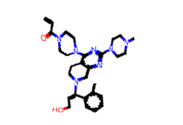 C=CC(=O)N1CCN(c2nc(N3CCN(C)CC3)nc3c2CCN(/C(=C/CO)c2ccccc2C)C3)CC1